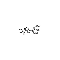 CC(=O)OC[C@H]1O[C@@H](n2cnc3c(NC4CCCCC4)nc(I)nc32)[C@H](OC(C)=O)[C@@H]1OC(C)=O